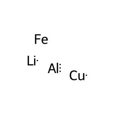 [Al].[Cu].[Fe].[Li]